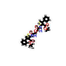 CC(C)(C)OC(=O)c1c(-c2ccccc2)csc1NC(=O)COCC(=O)Nc1scc(-c2ccccc2)c1C(=O)OC(C)(C)C